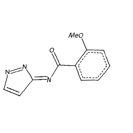 COc1ccccc1C(=O)/N=C1/C=CN=N1